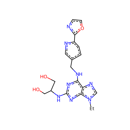 CCn1cnc2c(NCc3ccc(-c4ncco4)nc3)nc(NC(CO)CO)nc21